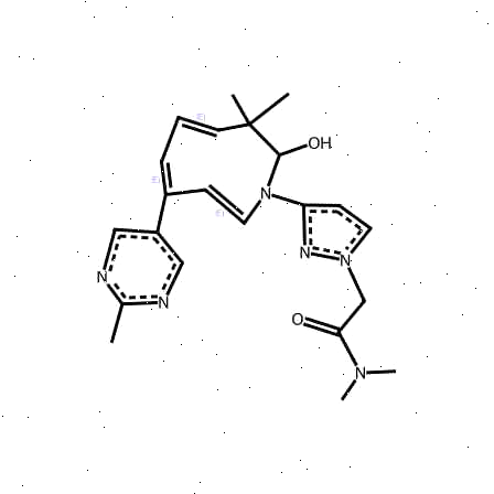 Cc1ncc(C2=C/C=C/C(C)(C)C(O)N(c3ccn(CC(=O)N(C)C)n3)\C=C\2)cn1